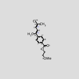 COCCOC(=O)c1ccc(/C(C)=C/C=C(\C)Cl)cc1